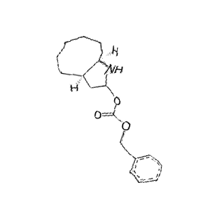 O=C(OCc1ccccc1)OC1C[C@H]2CCCCC[C@H]2N1